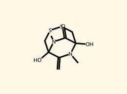 C=C1N(C)C2(O)CSSCC1(O)N(C)C2=O